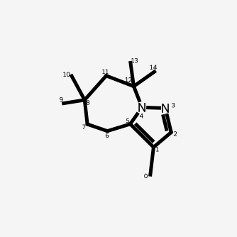 Cc1cnn2c1CCC(C)(C)CC2(C)C